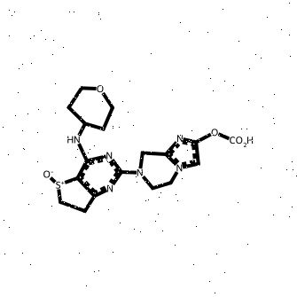 O=C(O)Oc1cn2c(n1)CN(c1nc3c(c(NC4CCOCC4)n1)[S+]([O-])CC3)CC2